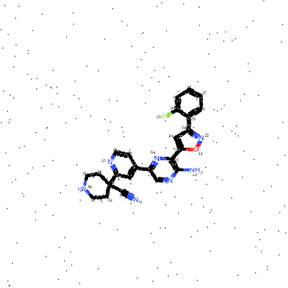 N#CC1(c2cc(-c3cnc(N)c(-c4cc(-c5ccccc5F)no4)n3)ccn2)CCNCC1